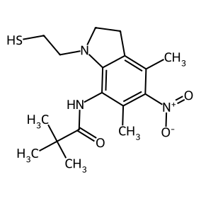 Cc1c2c(c(NC(=O)C(C)(C)C)c(C)c1[N+](=O)[O-])N(CCS)CC2